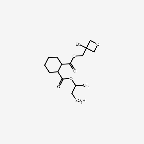 CCC1(COC(=O)C2CCCCC2C(=O)OC(CS(=O)(=O)O)C(F)(F)F)COC1